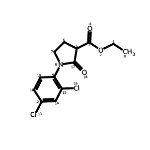 CCOC(=O)C1CCN(c2ccc(Cl)cc2Cl)C1=O